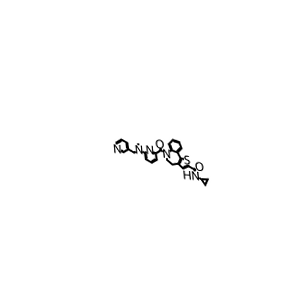 CN(Cc1cccnc1)c1cccc(C(=O)N2CCc3cc(C(=O)NC4CC4)sc3-c3ccccc32)n1